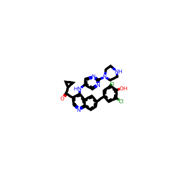 O=C(c1cnc2ccc(-c3cc(Cl)c(O)c(Cl)c3)cc2c1Nc1cnc(N2CCNCC2)nc1)C1CC1